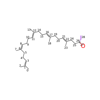 CC(C)=CCC/C(C)=C\CC/C=C(\C)CC/C=C(\C)CC/C=C(\C)CCC(=O)I